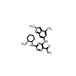 Cc1cc(Nc2nc(N[C@@H]3CCCC[C@@H]3N)nnc2C(N)=O)cc2nn(C)cc12